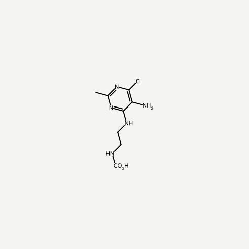 Cc1nc(Cl)c(N)c(NCCNC(=O)O)n1